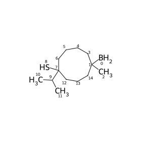 BC1(C)CCCCC(S)(C(C)C)CCC1